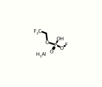 O=P(O)(OF)OCC(F)(F)F.[AlH3]